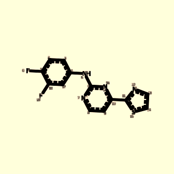 Fc1ccc(Nc2nccc(-c3nccs3)n2)cc1F